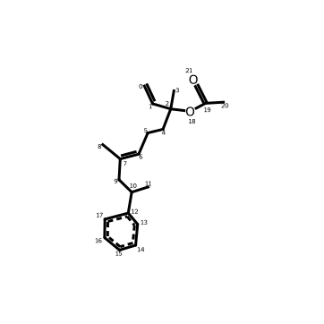 C=CC(C)(CCC=C(C)CC(C)c1ccccc1)OC(C)=O